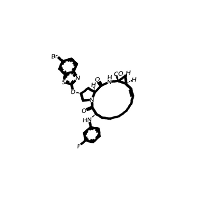 O=C1N[C@]2(C(=O)O)C[C@H]2/C=C\CCCCC[C@H](Nc2cccc(F)c2)C(=O)N2C[C@H](Oc3nc4ccc(Br)cc4s3)C[C@@H]12